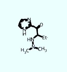 C[CH]C(NN(C)C)C(=O)c1ncc[nH]1